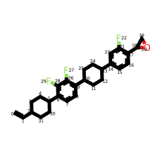 C=CC1CCC(c2ccc(C3CCC(c4ccc(C5CO5)c(F)c4)CC3)c(F)c2F)CC1